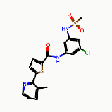 Cc1cccnc1-c1ccc(C(=O)Nc2cc(Cl)cc(NS(C)(=O)=O)c2)s1